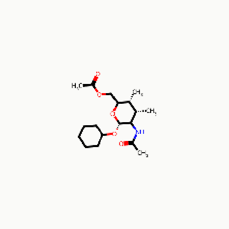 CC(=O)NC1[C@H](OC2CCCCC2)OC(COC(C)=O)[C@H](C)[C@@H]1C